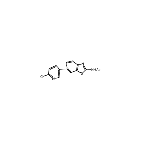 CC(=O)Nc1nc2ccc(-c3c[c]c(Cl)nc3)cc2s1